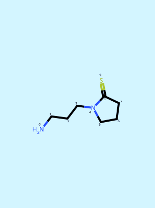 NCCCN1CCCC1=S